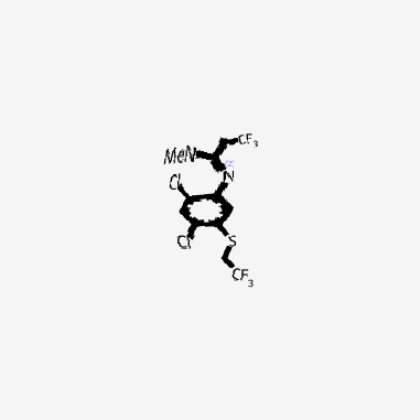 CN/C(CC(F)(F)F)=N\c1cc(SCC(F)(F)F)c(Cl)cc1Cl